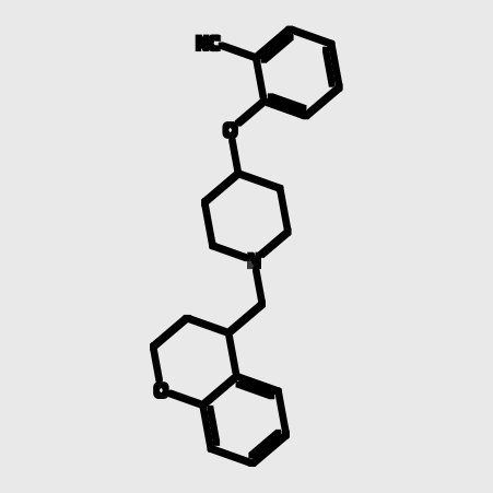 N#Cc1ccccc1OC1CCN(CC2CCOc3ccccc32)CC1